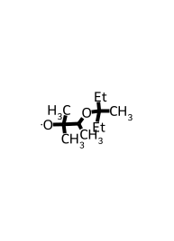 CCC(C)(CC)OC(C)C(C)(C)[O]